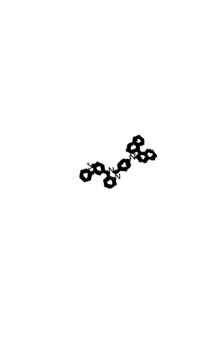 c1ccc2c(c1)ccc1c2c2c3ccccc3ccc2n1-c1ccc(-c2nc(-c3ccc4sc5ccccc5c4c3)c3ccccc3n2)cc1